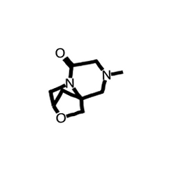 CN1CC(=O)N2CC3CC2(CO3)C1